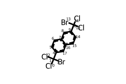 ClC(Cl)(Br)c1ccc2cc(C(Cl)(Cl)Br)ccc2c1